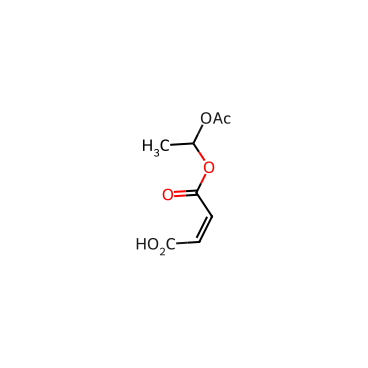 CC(=O)OC(C)OC(=O)/C=C\C(=O)O